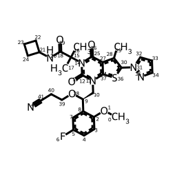 COc1ccc(F)cc1[C@H](Cn1c(=O)n(C(C)(C)C(=O)NC2CCC2)c(=O)c2c(C)c(-n3cccn3)sc21)OCCC#N